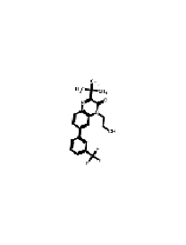 CC(C)(C)c1nc2ccc(-c3cccc(C(F)(F)F)c3)cc2n(CCO)c1=O